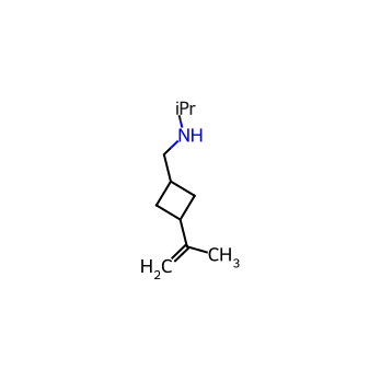 C=C(C)C1CC(CNC(C)C)C1